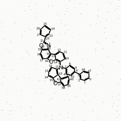 c1ccc(-c2ccc(N(c3cccc4c3oc3ccc5oc(-c6ccccc6)nc5c34)c3cccc4oc5ccccc5c34)cc2)cc1